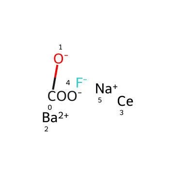 O=C([O-])[O-].[Ba+2].[Ce].[F-].[Na+]